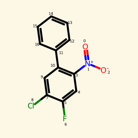 O=[N+]([O-])c1cc(F)c(Cl)cc1-c1ccccc1